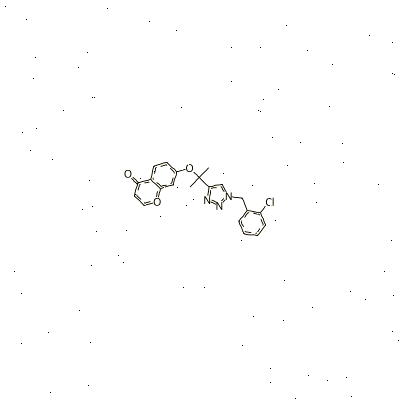 CC(C)(Oc1ccc2c(=O)ccoc2c1)c1cn(Cc2ccccc2Cl)nn1